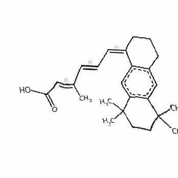 CC(/C=C/C=C1/CCCc2cc3c(cc21)C(C)(C)CCC3(C)C)=C\C(=O)O